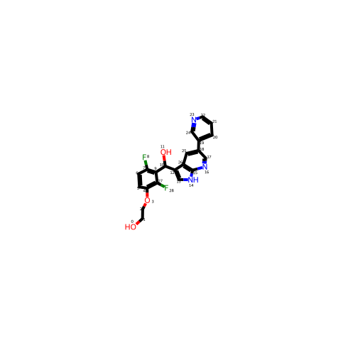 OCCOc1ccc(F)c(C(O)c2c[nH]c3ncc(-c4cccnc4)cc23)c1F